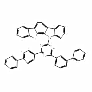 c1ccc(-c2ccc(-c3nc(-c4cccc(-c5ccccc5)c4)nc(-n4c5ccccc5c5ccc6c7ccccc7sc6c54)n3)cc2)cc1